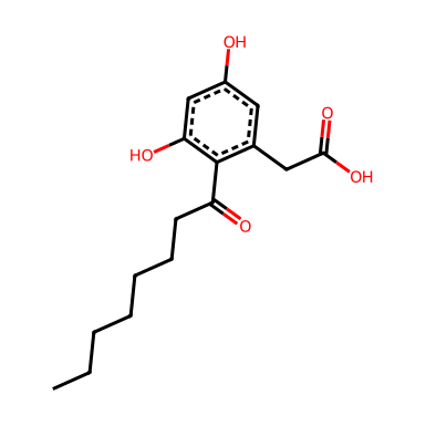 CCCCCCCC(=O)c1c(O)cc(O)cc1CC(=O)O